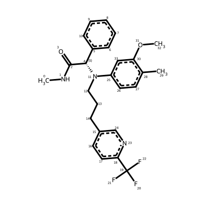 CNC(=O)[C@H](c1ccccc1)N(CCCc1ccc(C(F)(F)F)nc1)c1ccc(C)c(OC)c1